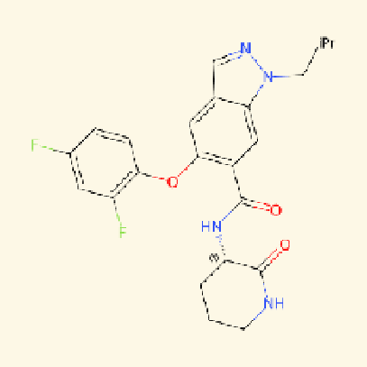 CC(C)Cn1ncc2cc(Oc3ccc(F)cc3F)c(C(=O)N[C@H]3CCCNC3=O)cc21